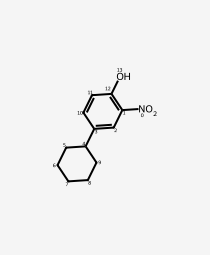 O=[N+]([O-])c1cc(C2CCCCC2)ccc1O